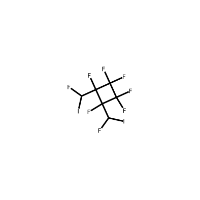 FC(I)C1(F)C(F)(F)C(F)(F)C1(F)C(F)I